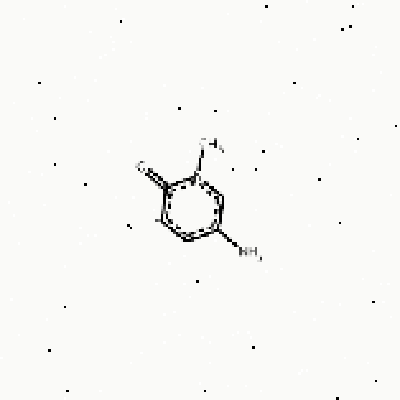 Cn1cc(N)c[c]c1=O